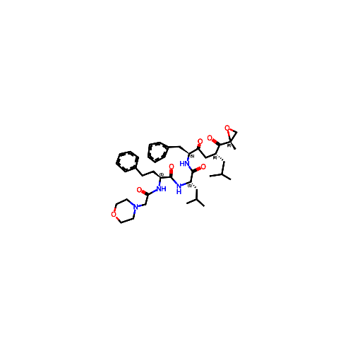 CC(C)C[C@H](CC(=O)[C@H](Cc1ccccc1)NC(=O)[C@H](CC(C)C)NC(=O)[C@H](CCc1ccccc1)NC(=O)CN1CCOCC1)C(=O)[C@@]1(C)CO1